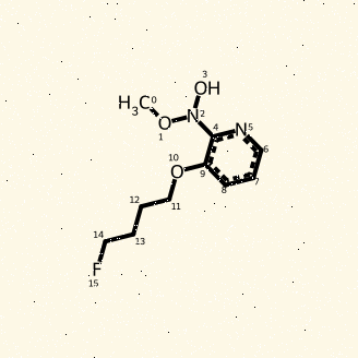 CON(O)c1ncccc1OCCCCF